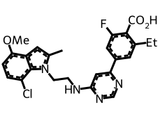 CCc1cc(-c2cc(NCCn3c(C)cc4c(OC)ccc(Cl)c43)ncn2)cc(F)c1C(=O)O